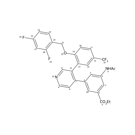 CCOC(=O)c1cc(NC(C)=O)cc(-c2ccncc2-c2cc(C(F)(F)F)ccc2OCc2ccc(F)cc2F)c1